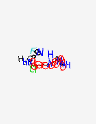 C[C@@H](C(=O)Nc1ccc(Cl)c(OCCOCCOCCNC(=O)COc2cccc3c2C(=O)N(C2CCC(=O)NC2=O)C3=O)c1)[C@H]1CC[C@@H](c2ccnc3ccc(F)cc32)CC1